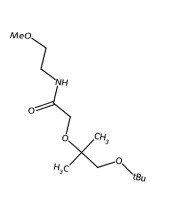 COCCNC(=O)COC(C)(C)COC(C)(C)C